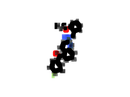 COc1ccccc1CNc1ccc2c(C(=O)c3ccc(F)cc3)cccc2n1